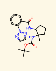 CC(C)(C)OC(=O)NC1(C)CCCC1NC(=O)c1ccccc1-n1nccn1